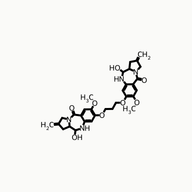 C=C1CC2C(O)Nc3cc(OCCCOc4cc5c(cc4OC)C(=O)N4CC(=C)CC4C(O)N5)c(OC)cc3C(=O)N2C1